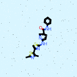 Cc1nc(C)c(-c2csc(Nc3ccc(C(=O)Nc4ccccc4)cn3)n2)s1